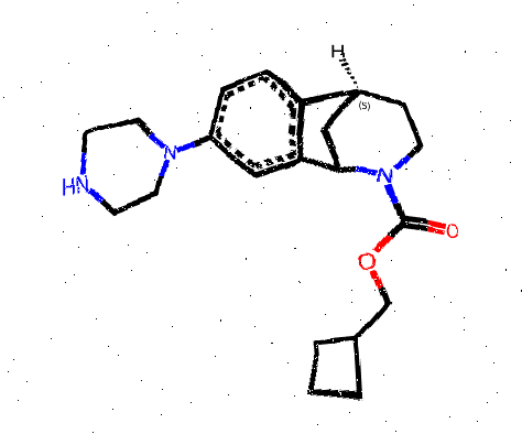 O=C(OCC1CCC1)N1CC[C@H]2CC1c1cc(N3CCNCC3)ccc12